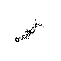 CC(C)OC(=O)N1CCc2c(n(C)c3cc(-n4ccc(OCc5ccccc5)cc4=O)ccc23)C1